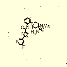 CNC1(C(N)=O)CCN(c2ccccc2NC(=O)c2csc(-c3cncc(F)c3)n2)CC1